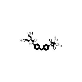 CC1(C)C(=O)N(c2ccc(Cc3ccc(NC(=O)N(CCO)CCO)cc3)cc2)C1=O